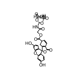 O=C(COC(=O)C1C=CC2=C(C1)C1(OC2=O)c2ccc(O)cc2Oc2cc(O)ccc21)NC(O[PH](=O)O)O[PH](=O)O